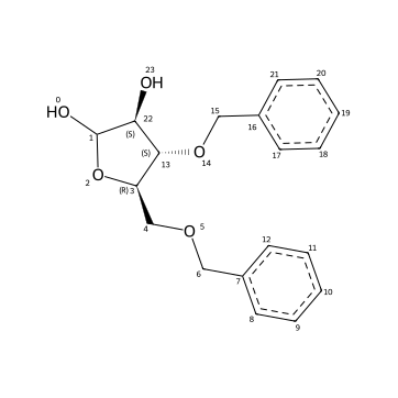 OC1O[C@H](COCc2ccccc2)[C@@H](OCc2ccccc2)[C@@H]1O